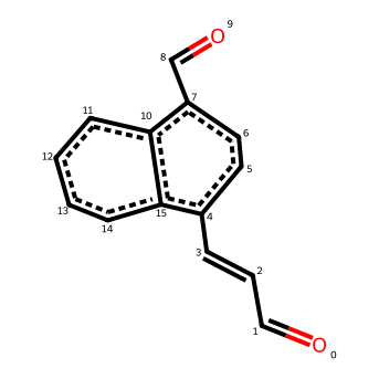 O=C/C=C/c1ccc(C=O)c2ccccc12